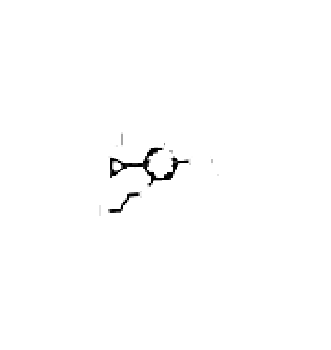 Cl.O=C(O)c1cc(OCCF)c(C2CC2)cn1